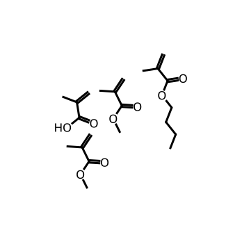 C=C(C)C(=O)O.C=C(C)C(=O)OC.C=C(C)C(=O)OC.C=C(C)C(=O)OCCCC